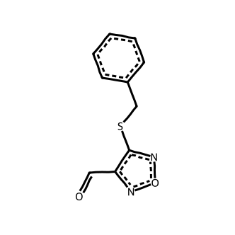 O=Cc1nonc1SCc1ccccc1